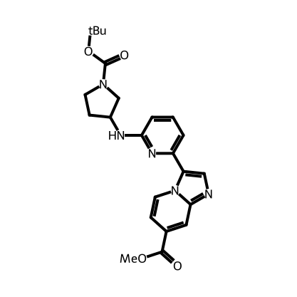 COC(=O)c1ccn2c(-c3cccc(NC4CCN(C(=O)OC(C)(C)C)C4)n3)cnc2c1